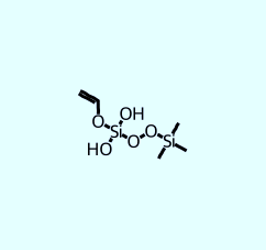 C=CO[Si](O)(O)OO[Si](C)(C)C